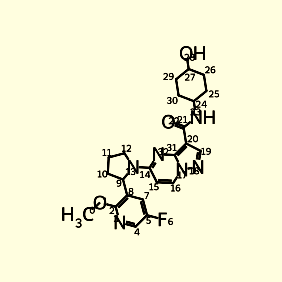 COc1ncc(F)cc1C1CCCN1c1ccn2ncc(C(=O)NC3CCC(O)CC3)c2n1